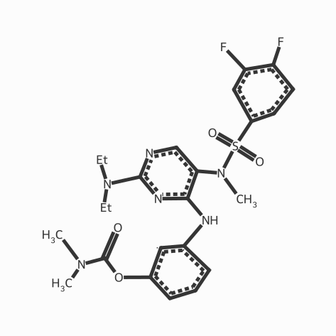 CCN(CC)c1ncc(N(C)S(=O)(=O)c2ccc(F)c(F)c2)c(Nc2[c]c(OC(=O)N(C)C)ccc2)n1